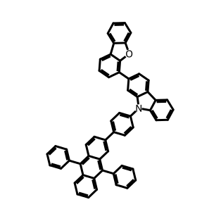 c1ccc(-c2c3ccccc3c(-c3ccccc3)c3cc(-c4ccc(-n5c6ccccc6c6ccc(-c7cccc8c7oc7ccccc78)cc65)cc4)ccc23)cc1